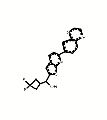 OC(c1cc2ccc(-c3ccc4nccnc4c3)nc2s1)C1CC(F)(F)C1